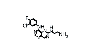 NCCNc1ncc2ncnc(Nc3ccc(F)c(Cl)c3)c2n1